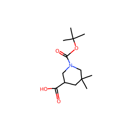 CC1(C)CC(C(=O)O)CN(C(=O)OC(C)(C)C)C1